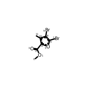 COC(=O)c1oc(Br)c(Br)c1C